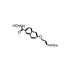 CCCCCCC=CCOc1ccc2cc(C(=O)NO)ccc2c1